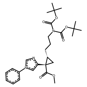 COC(=O)[C@@]1(c2cn(-c3ccccc3)cn2)C[C@H]1CCCN(C(=O)OC(C)(C)C)C(=O)OC(C)(C)C